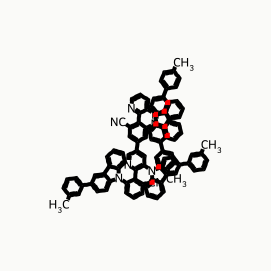 Cc1ccc(-c2ccc3c(c2)c2ccccc2n3-c2cccnc2-c2c(C#N)cc(-c3cnc(-c4c(C#N)cccc4-n4c5ccccc5c5cc(-c6cccc(C)c6)ccc54)c(-n4c5ccccc5c5cc(-c6cccc(C)c6)ccc54)c3)cc2-n2c3ccccc3c3cc(-c4ccc(C)cc4)ccc32)cc1